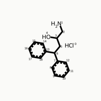 Cl.NCC(O)CC(c1ccccc1)c1ccccc1